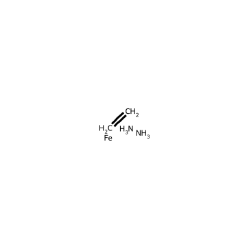 C=C.N.N.[Fe]